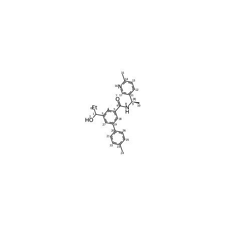 CCC(O)c1cc(C(=O)N[C@H](C)c2ccc(C)nc2)cc(-c2ccc(C)cc2)c1